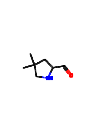 CC1(C)CNC(C=O)C1